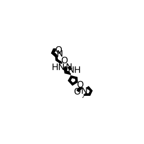 C[C@H]1CCCN1C(=O)O[C@@H]1CC[C@H](c2cc(NC(=O)Cc3ccon3)n[nH]2)C1